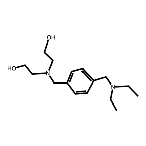 CCN(CC)Cc1ccc(CN(CCO)CCO)cc1